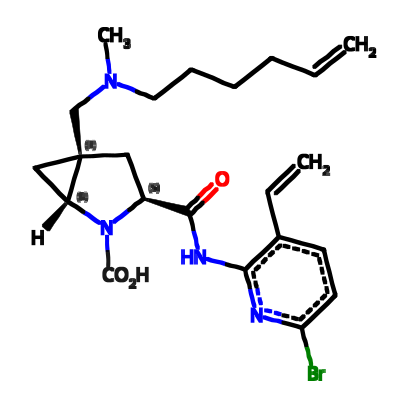 C=CCCCCN(C)C[C@@]12C[C@@H](C(=O)Nc3nc(Br)ccc3C=C)N(C(=O)O)[C@@H]1C2